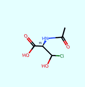 CC(=O)N[C@H](C(=O)O)C(O)Cl